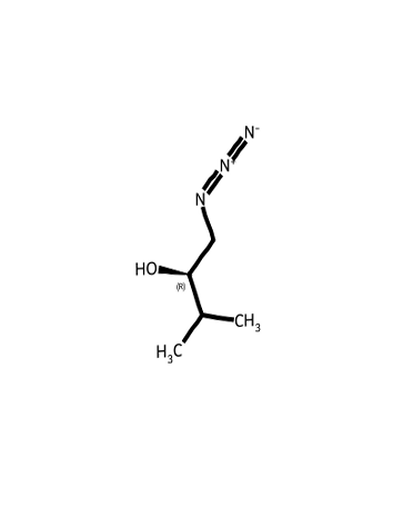 CC(C)[C@@H](O)CN=[N+]=[N-]